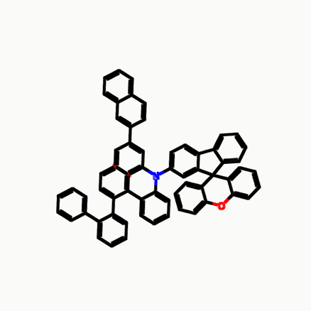 c1ccc(-c2ccccc2-c2ccccc2-c2ccccc2N(c2cccc(-c3ccc4ccccc4c3)c2)c2ccc3c(c2)C2(c4ccccc4Oc4ccccc42)c2ccccc2-3)cc1